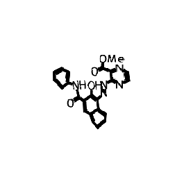 COC(=O)c1nccnc1/N=N/c1c(O)c(C(=O)Nc2ccccc2)cc2ccccc12